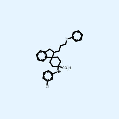 O=C(O)C1(Nc2cccc(Cl)c2)CCC2(CC1)c1ccccc1CC2CCCOc1ccccc1